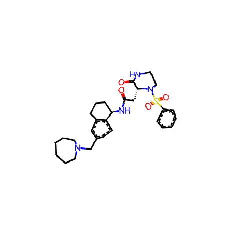 O=C(C[C@@H]1C(=O)NCCN1S(=O)(=O)c1ccccc1)N[C@@H]1CCCc2cc(CN3CCCCCC3)ccc21